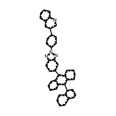 c1ccc2ncc(-c3ccc(-n4nc5ccc(-c6c7ccccc7c(-c7cccc8ccccc78)c7ccccc67)cc5n4)cc3)cc2c1